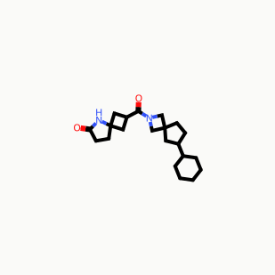 O=C1CCC2(CC(C(=O)N3CC4(CCC(C5CCCCC5)C4)C3)C2)N1